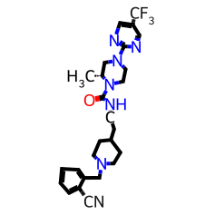 C[C@@H]1CN(c2ncc(C(F)(F)F)cn2)CCN1C(=O)NCCC1CCN(Cc2ccccc2C#N)CC1